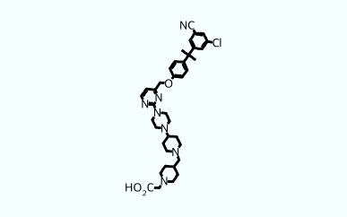 CC(C)(c1ccc(OCc2ccnc(N3CCN(C4CCN(CC5CCN(CC(=O)O)CC5)CC4)CC3)n2)cc1)c1cc(Cl)cc(C#N)c1